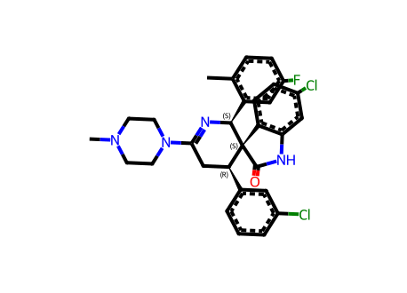 Cc1ccc(F)cc1[C@@H]1N=C(N2CCN(C)CC2)C[C@H](c2cccc(Cl)c2)[C@@]12C(=O)Nc1cc(Cl)ccc12